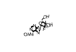 COc1ncnc2c1ncn2[C@@H]1O[C@H](CO)[C@](C)(O)[C@@]1(C)F